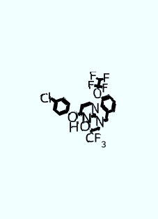 OC(CN(Cc1cccc(OC(F)(F)C(F)F)c1)c1nccc(Oc2ccc(Cl)cc2)n1)C(F)(F)F